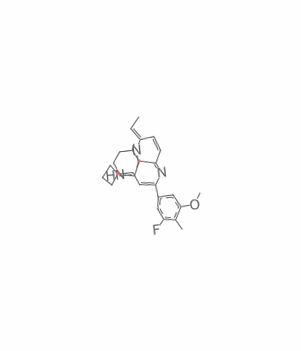 C\C=C(/C=C\C(=N\C(=C/C=C1CCC1)c1cc(F)c(C)c(OC)c1)C(C)CC)N1CCNCC1